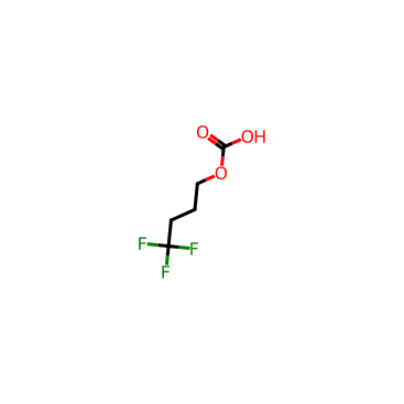 O=C(O)OCCCC(F)(F)F